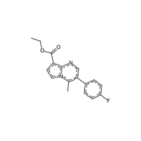 CCOC(=O)c1ccn2c(C)c(-c3ccc(F)cc3)cnc12